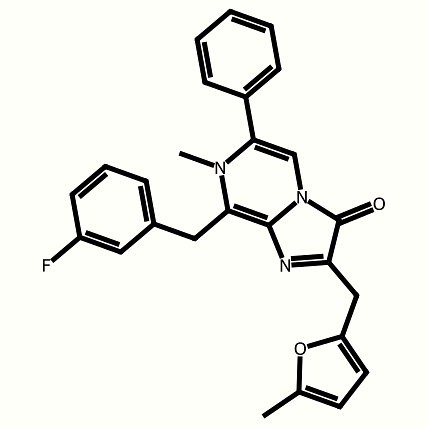 Cc1ccc(Cc2nc3c(Cc4cccc(F)c4)n(C)c(-c4ccccc4)cn-3c2=O)o1